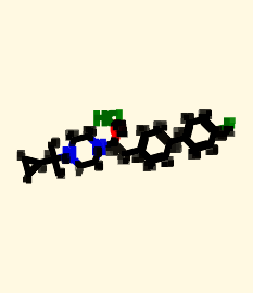 CC(C)(C1CC1)N1CCN(C(=O)Cc2ccc(-c3ccc(F)cc3)cc2)CC1.Cl